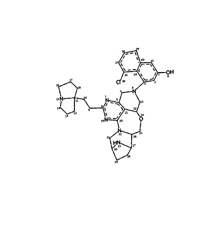 Oc1cc(N2Cc3nc(CCC45CCCN4CCC5)nc4c3C(C2)OCC2C3CCC(CN42)N3)c2c(Cl)cccc2c1